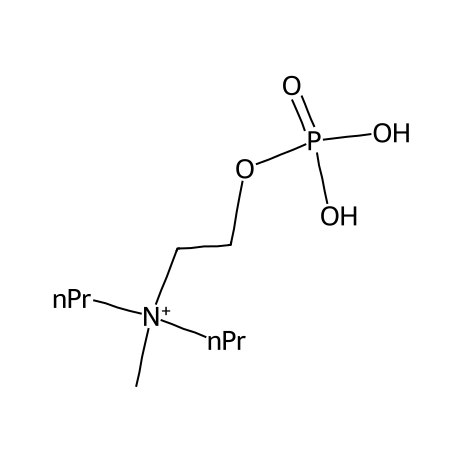 CCC[N+](C)(CCC)CCOP(=O)(O)O